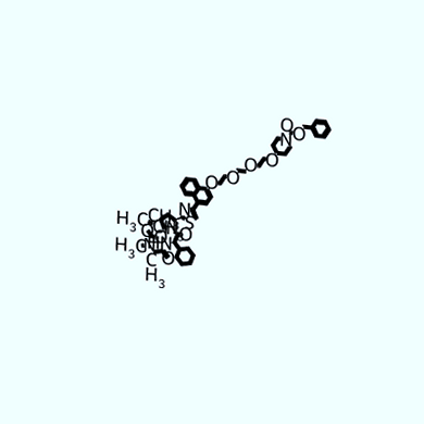 C[C@@H](C(=O)N[C@H](C(=O)N1CCC[C@H]1c1nc(-c2ccc(OCCOCCOCCOC3CCN(C(=O)OCc4ccccc4)CC3)c3ccccc23)cs1)C1CCCCC1)N(C)C(=O)OC(C)(C)C